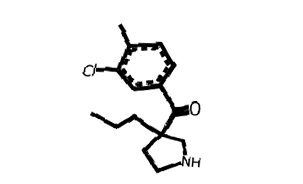 CCCC1(C(=O)c2ccc(C)c(Cl)c2)CCNC1